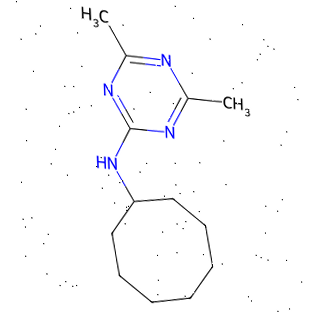 Cc1nc(C)nc(NC2CCCCCCC2)n1